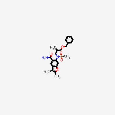 C=C(COCc1ccccc1)CN(c1cc2oc(C)c(C)c2cc1C(N)=O)S(C)(=O)=O